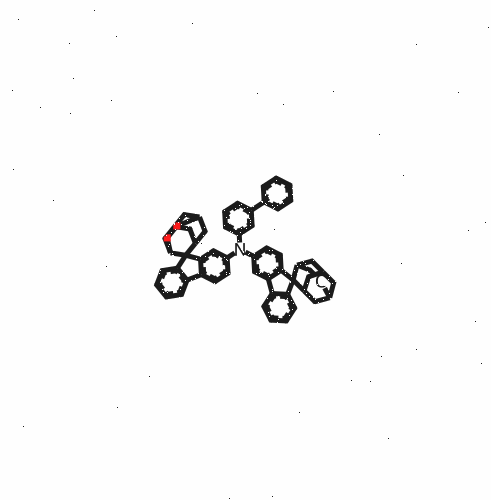 c1ccc(-c2cccc(N(c3ccc4c(c3)-c3ccccc3C43C4CCC5CC(C4)CC3C5)c3ccc4c(c3)C3(c5ccccc5-4)C4CCC5CC(C4)CC3C5)c2)cc1